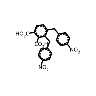 O=C(O)c1ccc(Cc2ccc([N+](=O)[O-])cc2)c(Cc2ccc([N+](=O)[O-])cc2)c1C(=O)O